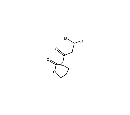 CCC(CC)CC(=O)N1CCCOC1=O